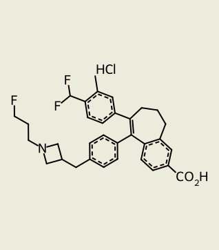 Cc1cc(C2=C(c3ccc(CC4CN(CCCF)C4)cc3)c3ccc(C(=O)O)cc3CCC2)ccc1C(F)F.Cl